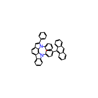 c1ccc(-c2cc3ccc4c5ccccc5n(-c5ccc(-c6c7ccccc7cc7ccccc67)cc5)c4c3n2-c2ccccc2)cc1